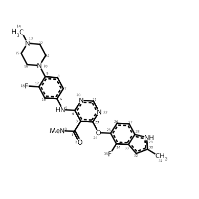 CNC(=O)c1c(Nc2ccc(N3CCN(C)CC3)c(F)c2)ncnc1Oc1ccc2[nH]c(C)cc2c1F